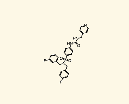 O=C(NCc1ccncc1)Nc1ccc(S(=O)(=O)N(Cc2ccc(F)cc2)Cc2cccc(F)c2)cc1